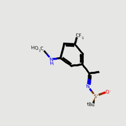 C/C(=N\[S@@+]([O-])C(C)(C)C)c1cc(NC(=O)O)cc(C(F)(F)F)c1